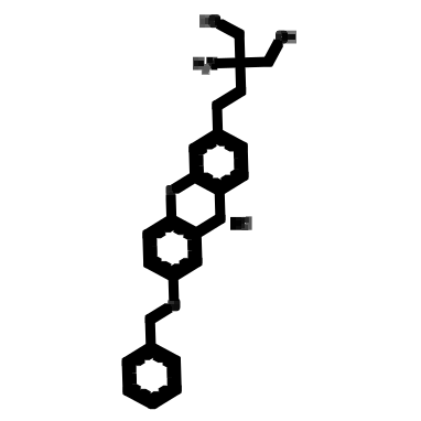 Cl.NC(CO)(CO)CCc1ccc2c(c1)Sc1ccc(OCc3ccccc3)cc1C2